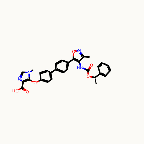 Cc1noc(-c2ccc(-c3ccc(Oc4c(C(=O)O)ncn4C)cc3)cc2)c1NC(=O)O[C@H](C)c1ccccc1